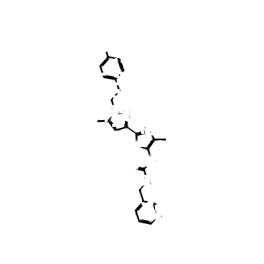 Cc1nc(-c2cc(C)n(CCc3ccc(F)cc3)n2)sc1OC(=O)NCc1cccnc1